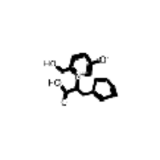 O=C(O)C(Cc1ccccc1)[n+]1cc([O-])ccc1CO